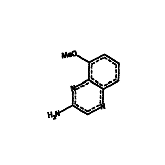 COc1cccc2ncc(N)nc12